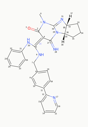 Cn1c(=O)/c(=C(/NCc2ccc(-c3ccccn3)cc2)Nc2ccccc2)c(=N)n2c1=N[C@@H]1CCC[C@@H]12